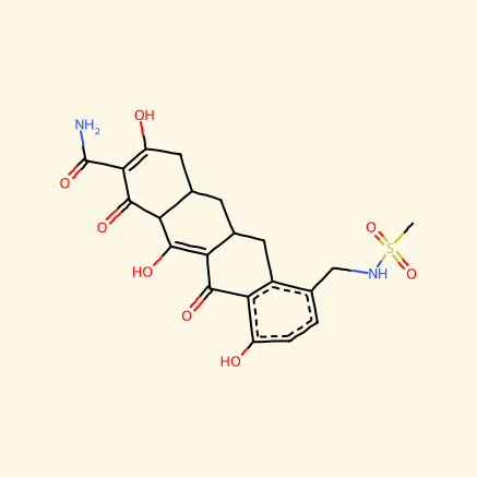 CS(=O)(=O)NCc1ccc(O)c2c1CC1CC3CC(O)=C(C(N)=O)C(=O)C3C(O)=C1C2=O